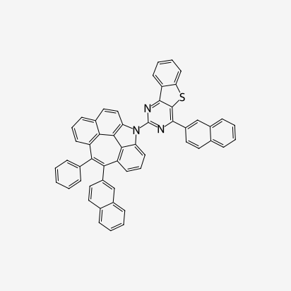 c1ccc(C2=C(c3ccc4ccccc4c3)c3cccc4c3c3c5c2cccc5ccc3n4-c2nc(-c3ccc4ccccc4c3)c3sc4ccccc4c3n2)cc1